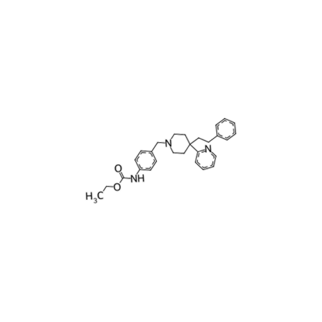 CCOC(=O)Nc1ccc(CN2CCC(CCc3ccccc3)(c3ccccn3)CC2)cc1